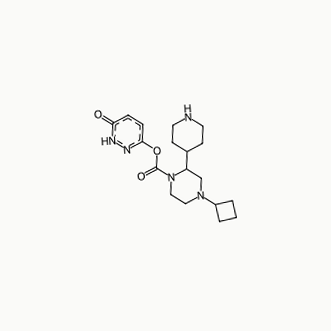 O=C(Oc1ccc(=O)[nH]n1)N1CCN(C2CCC2)CC1C1CCNCC1